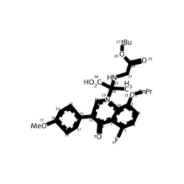 CCCOc1ccc(F)c2c(=O)c(-c3ccc(OC)cc3)cn(C(C)(NCC(=O)OC(C)(C)C)C(=O)O)c12